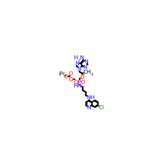 CC(C)OC(=O)OCOP(=O)(CO[C@H](C)Cn1cnc2c(N)ncnc21)NCCCCNc1ccnc2cc(Cl)ccc12